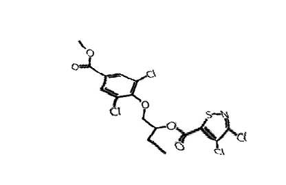 CCC(COc1c(Cl)cc(C(=O)OC)cc1Cl)OC(=O)c1snc(Cl)c1Cl